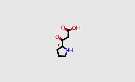 O=C(O)[CH]C(=O)[C@@H]1CCCN1